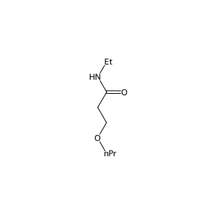 CCCOCCC(=O)NCC